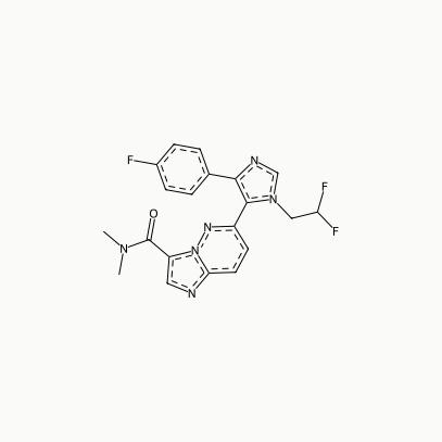 CN(C)C(=O)c1cnc2ccc(-c3c(-c4ccc(F)cc4)ncn3CC(F)F)nn12